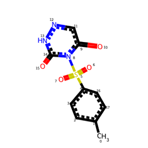 Cc1ccc(S(=O)(=O)n2c(=O)cn[nH]c2=O)cc1